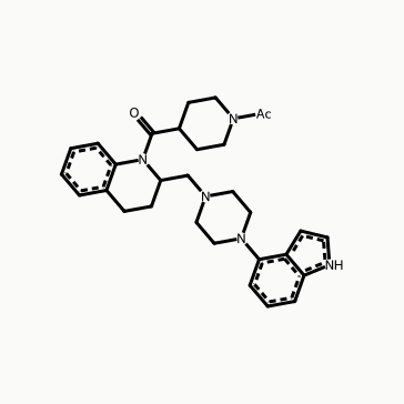 CC(=O)N1CCC(C(=O)N2c3ccccc3CCC2CN2CCN(c3cccc4[nH]ccc34)CC2)CC1